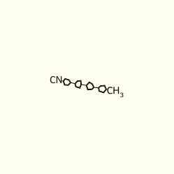 [C-]#[N+]c1ccc(-c2ccc(-c3ccc(-c4ccc(C)cc4)cc3)cc2)cc1